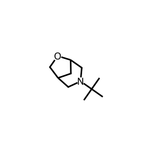 CC(C)(C)N1CC2COC(C2)C1